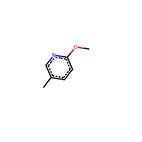 COc1[c]cc(C)cn1